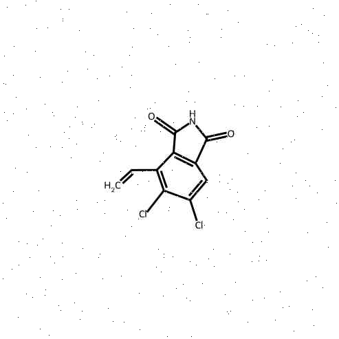 C=Cc1c(Cl)c(Cl)cc2c1C(=O)NC2=O